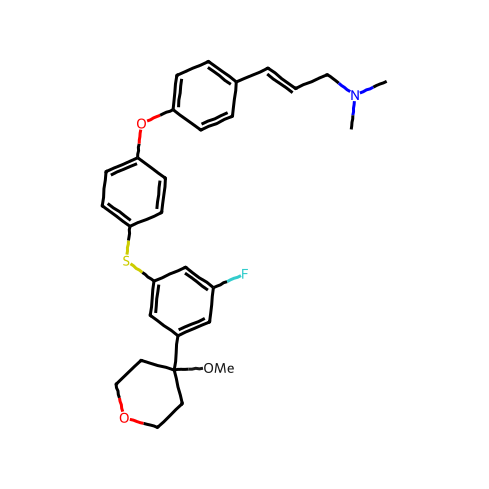 COC1(c2cc(F)cc(Sc3ccc(Oc4ccc(C=CCN(C)C)cc4)cc3)c2)CCOCC1